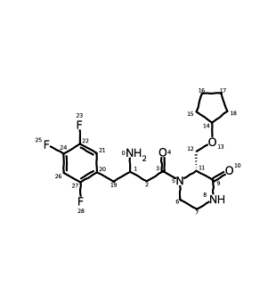 NC(CC(=O)N1CCNC(=O)[C@H]1COC1CCCC1)Cc1cc(F)c(F)cc1F